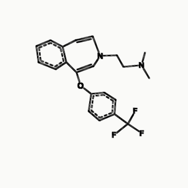 CN(C)CCN1C=Cc2ccccc2C(Oc2ccc(C(F)(F)F)cc2)=C1